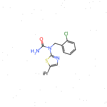 CC(C)c1cnc(N(Cc2ccccc2Cl)C(N)=O)s1